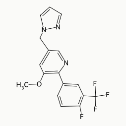 COc1cc(Cn2cccn2)cnc1-c1ccc(F)c(C(F)(F)F)c1